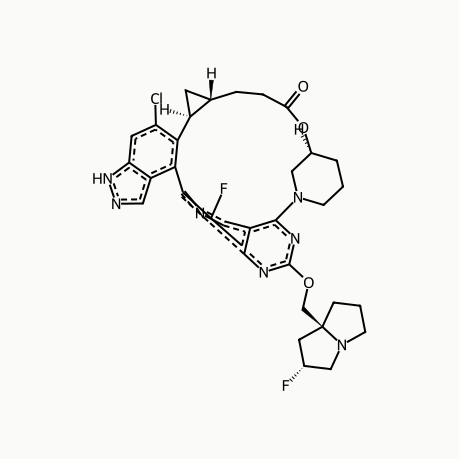 O=C1CC[C@H]2C[C@@H]2c2c(Cl)cc3[nH]ncc3c2-c2ncc3c(nc(OC[C@@]45CCCN4C[C@H](F)C5)nc3c2F)N2CCC[C@@H](C2)O1